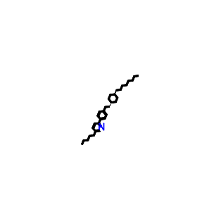 CCCCCCCC[C@H]1CC[C@H](CCc2ccc(-c3ccc(CCCCC)cn3)cc2)CC1